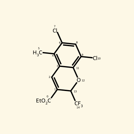 CCOC(=O)C1=Cc2c(C)c(Cl)cc(Cl)c2OC1C(F)(F)F